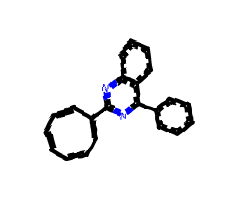 C1=C\C=C/C(c2nc(-c3ccccc3)c3ccccc3n2)=C\C=C/1